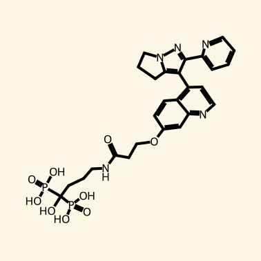 O=C(CCOc1ccc2c(-c3c(-c4ccccn4)nn4c3CCC4)ccnc2c1)NCCCC(O)(P(=O)(O)O)P(=O)(O)O